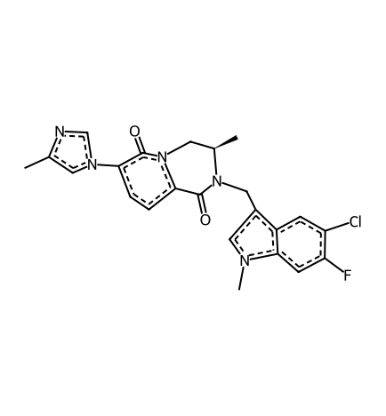 Cc1cn(-c2ccc3n(c2=O)C[C@@H](C)N(Cc2cn(C)c4cc(F)c(Cl)cc24)C3=O)cn1